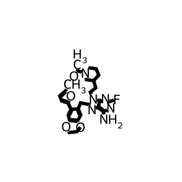 CC(=O)N1CCCC(CCn2c(Cc3cc4c(cc3-c3ccc(C)o3)OCCO4)nc3c(N)nc(F)nc32)C1